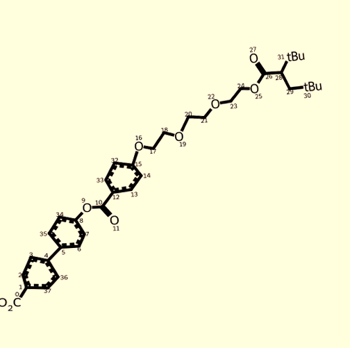 CCOC(=O)c1ccc(-c2ccc(OC(=O)c3ccc(OCCOCCOCCOC(=O)C(CC(C)(C)C)C(C)(C)C)cc3)cc2)cc1